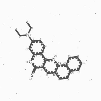 CCN(CC)c1ccc2c(c1)oc(=S)c1cc3ccc4ccccc4c3nc12